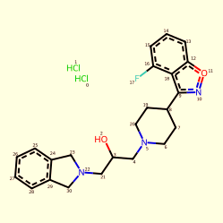 Cl.Cl.OC(CN1CCC(c2noc3cccc(F)c23)CC1)CN1Cc2ccccc2C1